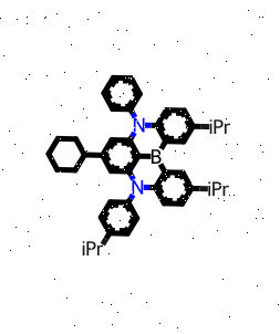 CC(C)c1ccc(N2c3ccc(C(C)C)cc3B3c4cc(C(C)C)ccc4N(c4ccccc4)c4cc(C5CCCCC5)cc2c43)cc1